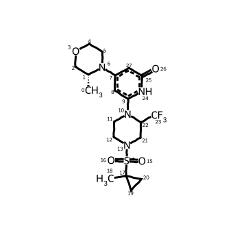 C[C@@H]1COCCN1c1cc(N2CCN(S(=O)(=O)C3(C)CC3)CC2C(F)(F)F)[nH]c(=O)c1